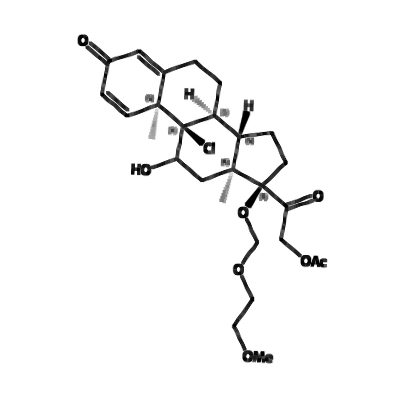 COCCOCO[C@]1(C(=O)COC(C)=O)CC[C@H]2[C@@H]3CCC4=CC(=O)C=C[C@]4(C)[C@@]3(Cl)C(O)C[C@@]21C